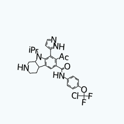 CC(=O)c1c(C(=O)Nc2ccc(OC(F)(F)Cl)cc2)cc2c(c1-c1ccn[nH]1)N(C(C)C)C1CNCCC21